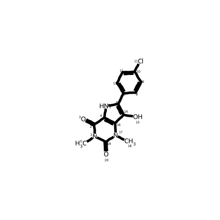 Cn1c(=O)c2[nH]c(-c3ccc(Cl)cc3)c(O)c2n(C)c1=O